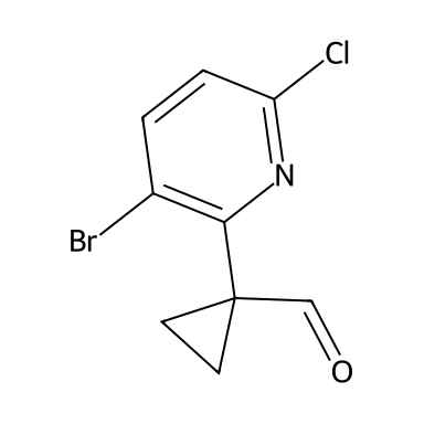 O=CC1(c2nc(Cl)ccc2Br)CC1